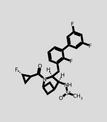 C[S+]([O-])N[C@H]1C2CC(C2)N(C(=O)C2C[C@@H]2F)[C@H]1Cc1cccc(-c2cc(F)cc(F)c2)c1F